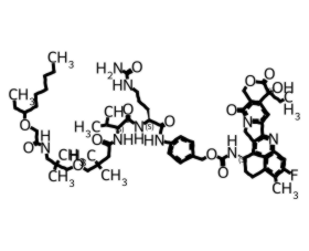 CCCCCCC(CC)OCC(=O)NCC(C)(C)COCC(C)(C)CC(=O)N[C@H](C(=O)N[C@@H](CCCNC(N)=O)C(=O)Nc1ccc(COC(=O)N[C@H]2CCc3c(C)c(F)cc4nc5c(c2c34)Cn2c-5cc3c(c2=O)COC(=O)[C@]3(O)CC)cc1)C(C)C